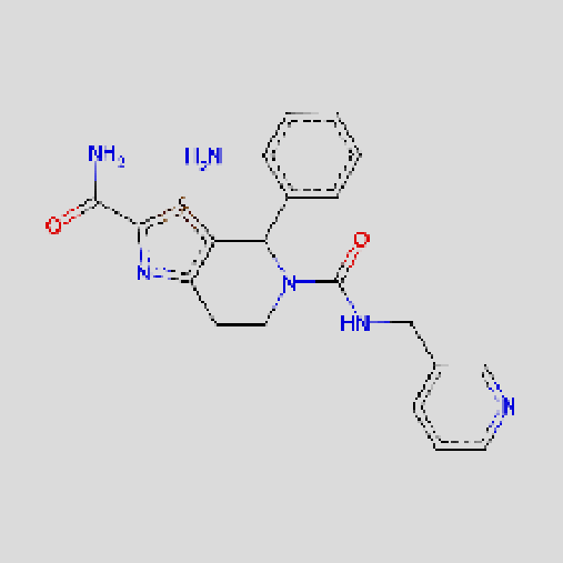 NC(=O)c1nc2c(s1)C(c1ccccc1N)N(C(=O)NCc1cccnc1)CC2